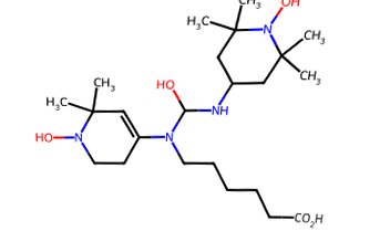 CC1(C)C=C(N(CCCCCC(=O)O)C(O)NC2CC(C)(C)N(O)C(C)(C)C2)CCN1O